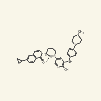 C[C@@H]1[C@H](n2ccc3cc(C4CC4)ccc3c2=O)CCCN1c1cnc(C#N)c(Nc2ccc(N3CCN(C)CC3)cc2)n1